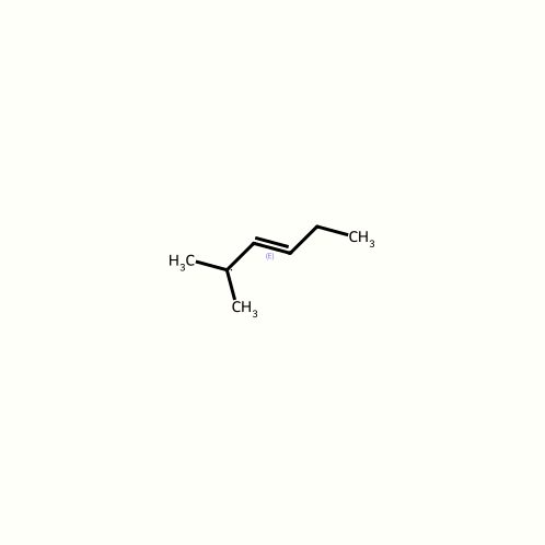 CC/C=C/[C](C)C